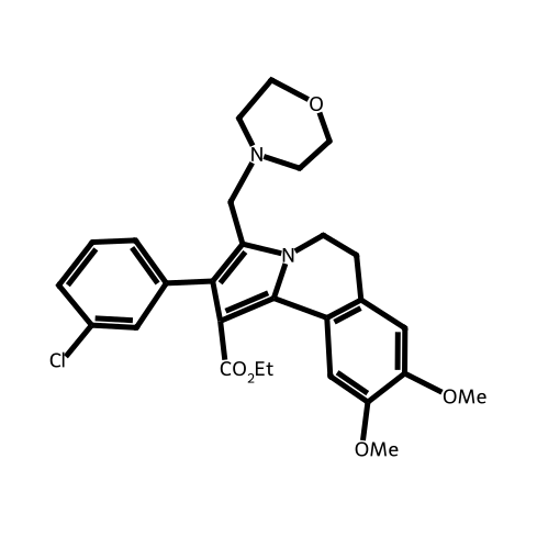 CCOC(=O)c1c(-c2cccc(Cl)c2)c(CN2CCOCC2)n2c1-c1cc(OC)c(OC)cc1CC2